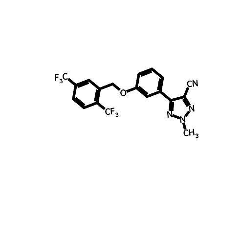 Cn1nc(C#N)c(-c2cccc(OCc3cc(C(F)(F)F)ccc3C(F)(F)F)c2)n1